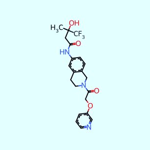 CC(O)(CC(=O)Nc1ccc2c(c1)CCN(C(=O)COc1cccnc1)C2)C(F)(F)F